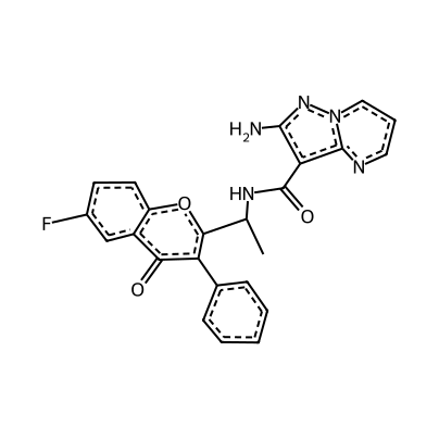 CC(NC(=O)c1c(N)nn2cccnc12)c1oc2ccc(F)cc2c(=O)c1-c1ccccc1